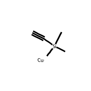 C#C[Si](C)(C)C.[Cu]